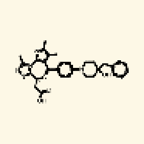 Cc1sc2c(c1C)C(c1ccc(N3CCC(O)(Cc4ccccc4)CC3)cc1)=N[C@@H](CC(=O)O)c1nnc(C)n1-2